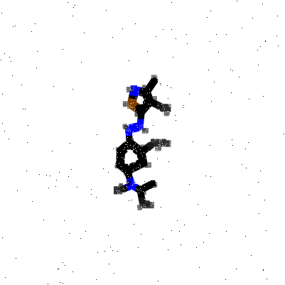 CCCCC(C)N(CC)c1ccc(N=Nc2snc(C)c2C#N)c(NC(C)=O)c1